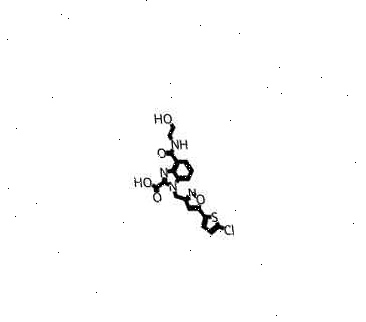 O=C(NCCO)c1cccc2c1nc(C(=O)O)n2Cc1cc(-c2ccc(Cl)s2)on1